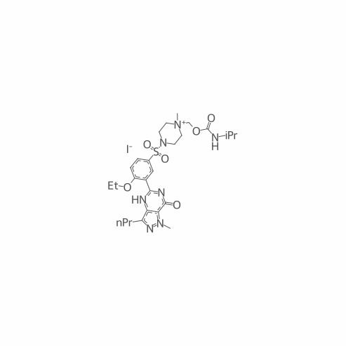 CCCc1nn(C)c2c(=O)nc(-c3cc(S(=O)(=O)N4CC[N+](C)(COC(=O)NC(C)C)CC4)ccc3OCC)[nH]c12.[I-]